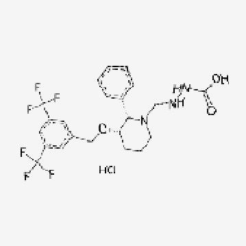 Cl.O=C(O)NNCN1CCC[C@H](OCc2cc(C(F)(F)F)cc(C(F)(F)F)c2)[C@@H]1c1ccccc1